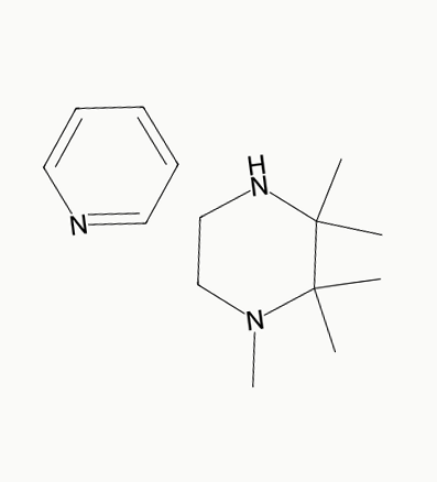 CN1CCNC(C)(C)C1(C)C.c1ccncc1